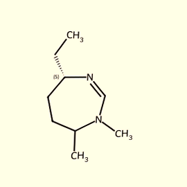 CC[C@H]1CCC(C)N(C)C=N1